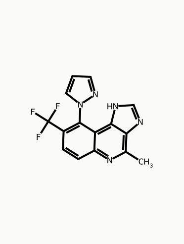 Cc1nc2ccc(C(F)(F)F)c(-n3cccn3)c2c2[nH]cnc12